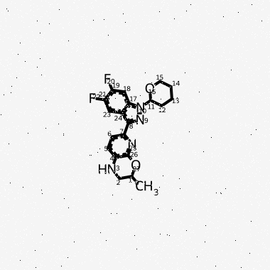 CC1CNc2ccc(-c3nn(C4CCCCO4)c4cc(F)c(F)cc34)nc2O1